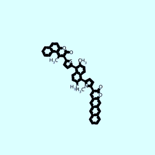 Cc1ccc2c(-c3ccc(-c4cc5cc6cc7ccccc7cc6cc5oc4=O)n3C)c(C)ccc2c1-c1ccc(-c2c(C)c3c(ccc4ccccc43)oc2=O)s1